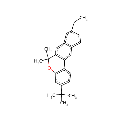 CCc1ccc2cc3c(cc2c1)C(C)(C)Oc1cc(C(C)(C)C)ccc1-3